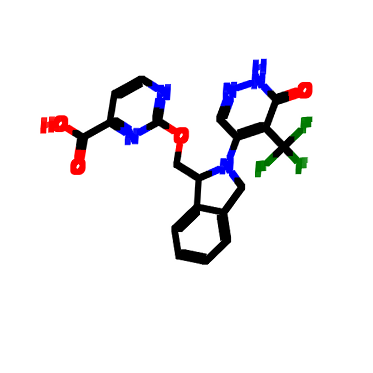 O=C(O)c1ccnc(OCC2c3ccccc3CN2c2cn[nH]c(=O)c2C(F)(F)F)n1